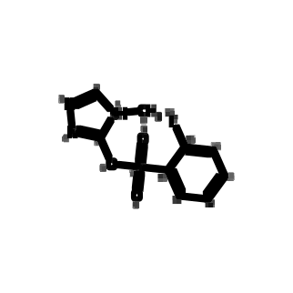 C[SH]1C=NN=C1OS(=O)(=O)c1ccccc1F